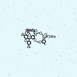 CNC(=O)COc1cc2c(cc1-c1c3ccc(=[N+](C)C)cc-3oc3cc(N(C)C)ccc13)OCCOc1cc(C)ccc1N(CC(=O)OC)CCOCCN2CC(=O)OC